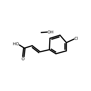 CO.O=C(O)C=Cc1ccc(Cl)cc1